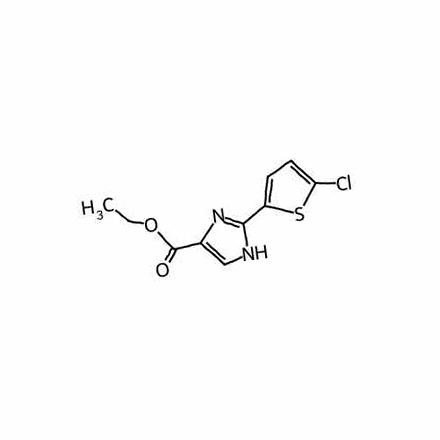 CCOC(=O)c1c[nH]c(-c2ccc(Cl)s2)n1